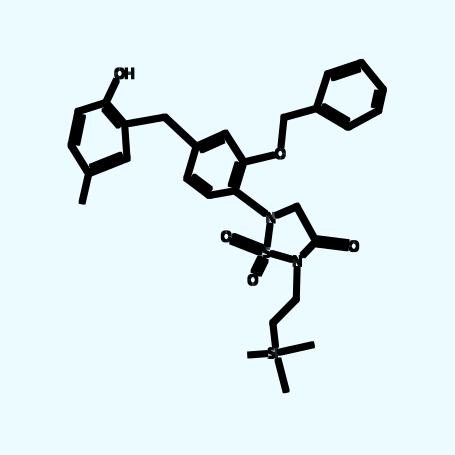 Cc1ccc(O)c(Cc2ccc(N3CC(=O)N(CC[Si](C)(C)C)S3(=O)=O)c(OCc3ccccc3)c2)c1